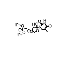 Cc1cn([C@@]2(O)C[C@H](OCP(=O)(OC(C)C)OC(C)C)CO2)c(=O)[nH]c1=O